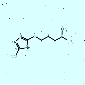 CN(C)CCCSc1nnc(C(C)(C)C)[nH]1